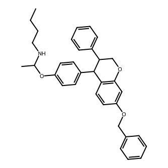 CCCCNC(C)Oc1ccc(C2c3ccc(OCc4ccccc4)cc3OCC2c2ccccc2)cc1